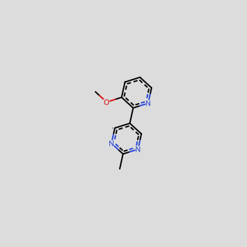 COc1cccnc1-c1[c]nc(C)nc1